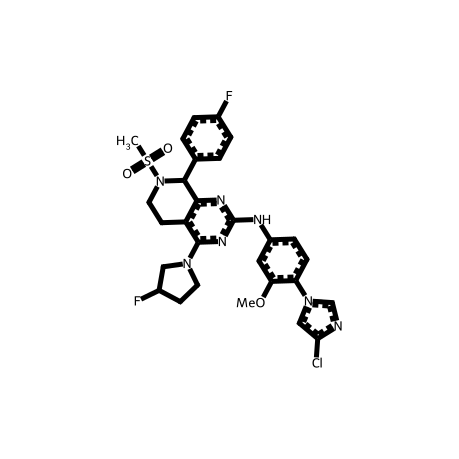 COc1cc(Nc2nc3c(c(N4CCC(F)C4)n2)CCN(S(C)(=O)=O)C3c2ccc(F)cc2)ccc1-n1cnc(Cl)c1